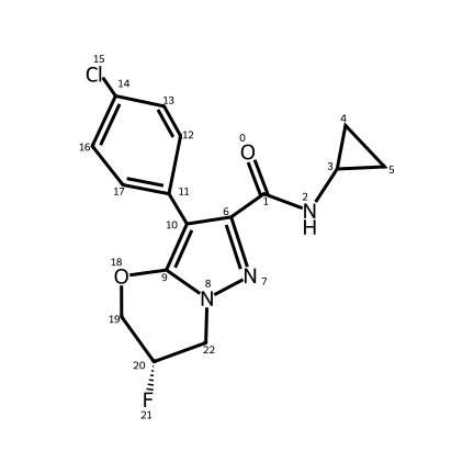 O=C(NC1CC1)c1nn2c(c1-c1ccc(Cl)cc1)OC[C@@H](F)C2